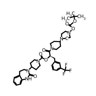 CC(C)(C)OC(=O)ON1CCN(C2CCN(C(=O)[C@@H](Cc3cccc(C(F)(F)F)c3)OC(=O)N3CCC(N4CCc5ccccc5NC4=O)CC3)CC2)CC1